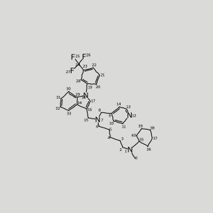 CN(CCCCCN(Cc1ccncc1)Cc1cn(-c2cccc(C(F)(F)F)c2)c2ccccc12)C1CCCCC1